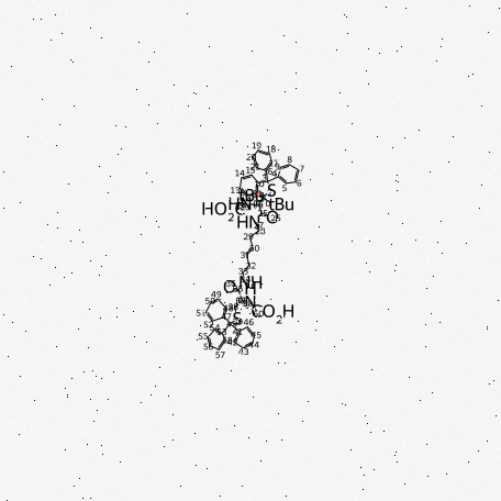 CC(C)(C)C(SC(c1ccccc1)(c1ccccc1)c1ccccc1)([C@H](NC(=O)O)C(=O)NCCC=CCCNC(=O)[C@H](CSC(c1ccccc1)(c1ccccc1)c1ccccc1)NC(=O)O)C(C)(C)C